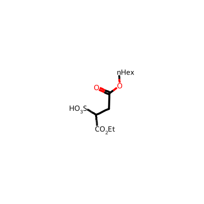 CCCCCCOC(=O)CC(C(=O)OCC)S(=O)(=O)O